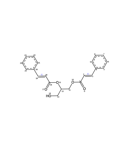 O=C(/C=C/c1ccccc1)OCC(CO)OC(=O)/C=C/c1ccccc1